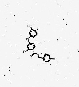 CC(C)c1cc(Nc2cccc(C#N)c2)ncc1C(=O)NCc1ccc(F)cc1